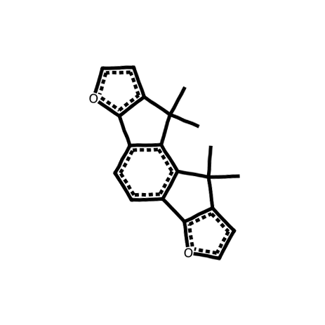 CC1(C)c2ccoc2-c2ccc3c(c21)C(C)(C)c1ccoc1-3